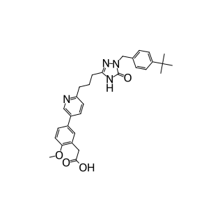 COc1ccc(-c2ccc(CCCc3nn(Cc4ccc(C(C)(C)C)cc4)c(=O)[nH]3)nc2)cc1CC(=O)O